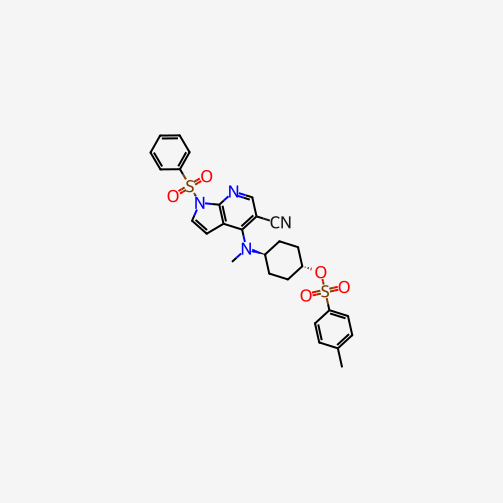 Cc1ccc(S(=O)(=O)O[C@H]2CC[C@H](N(C)c3c(C#N)cnc4c3ccn4S(=O)(=O)c3ccccc3)CC2)cc1